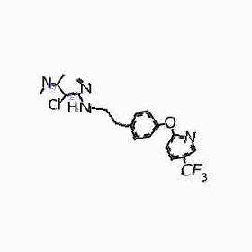 C=N/C(NCCc1ccc(Oc2ccc(C(F)(F)F)cn2)cc1)=C(Cl)\C(C)=N/C